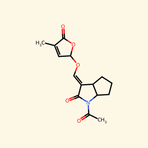 CC(=O)N1C(=O)/C(=C/OC2C=C(C)C(=O)O2)C2CCCC21